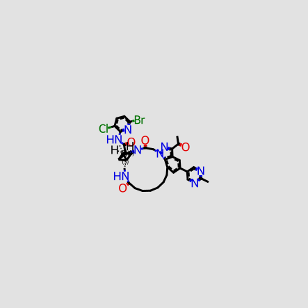 CC(=O)c1nn2c3c(cc(-c4cnc(C)nc4)cc13)CCCCCCC(=O)NC[C@@]13C4[C@@H](C(=O)Nc5nc(Br)ccc5Cl)N(C(=O)C2)[C@@H]1[C@]43C